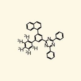 [2H]c1c([2H])c([2H])c(-c2cc(-c3nc(-c4ccccc4)nc(-c4ccccc4)n3)cc(-c3cccc4ccccc34)c2)c([2H])c1[2H]